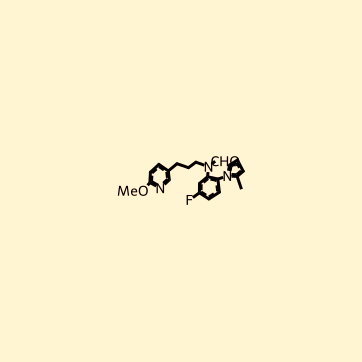 COc1ccc(CCCN(C=O)c2cc(F)ccc2-n2cccc2C)cn1